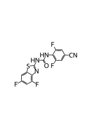 N#Cc1cc(F)c(NC(=O)Nc2nc3c(F)cc(F)cc3s2)c(F)c1